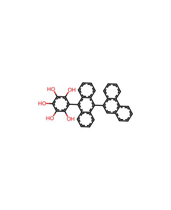 Oc1c(O)c(O)c(-c2c3ccccc3c(-c3cc4ccccc4c4ccccc34)c3ccccc23)c(O)c1O